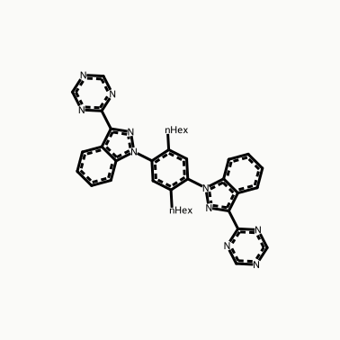 CCCCCCc1cc(-n2nc(-c3ncncn3)c3ccccc32)c(CCCCCC)cc1-n1nc(-c2ncncn2)c2ccccc21